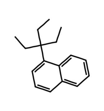 CCC(CC)(CC)c1cccc2ccccc12